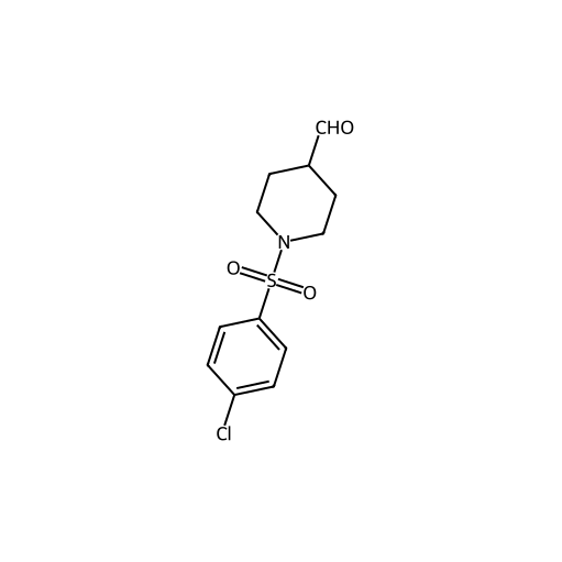 O=CC1CCN(S(=O)(=O)c2ccc(Cl)cc2)CC1